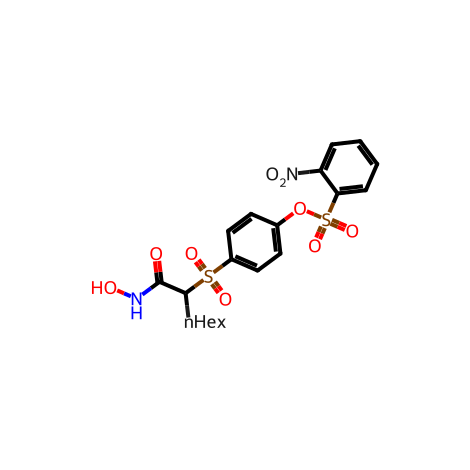 CCCCCCC(C(=O)NO)S(=O)(=O)c1ccc(OS(=O)(=O)c2ccccc2[N+](=O)[O-])cc1